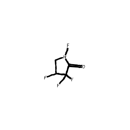 O=C1N(F)CC(F)C1(F)F